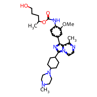 COc1cc(-c2nc(C3CCC(N4CCN(C)CC4)CC3)n3ccnc(C)c23)ccc1NC(=O)OC(C)CCCO